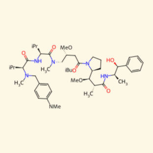 CC[C@H](C)[C@@H]([C@@H](CC(=O)N1CCC[C@H]1[C@H](OC)[C@@H](C)C(=O)N[C@H](C)[C@@H](O)c1ccccc1)OC)N(C)C(=O)[C@@H](NC(=O)[C@H](C(C)C)N(C)Cc1ccc(NC)cc1)C(C)C